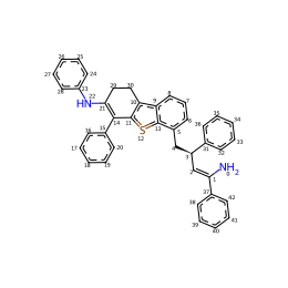 N/C(=C\[C@@H](Cc1cccc2c3c(sc12)C(c1ccccc1)=C(Nc1ccccc1)CC3)c1ccccc1)c1ccccc1